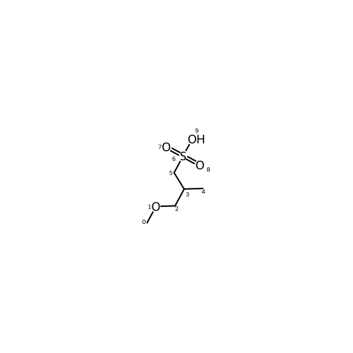 COCC(C)CS(=O)(=O)O